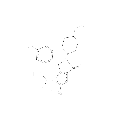 COC1CCC(N2C(=O)c3cc(Br)n(C(C)C)c3[C@@H]2c2ccc(Cl)cc2)CC1